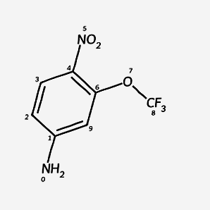 Nc1ccc([N+](=O)[O-])c(OC(F)(F)F)c1